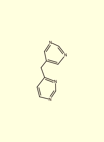 c1cc(Cc2cncnc2)ncn1